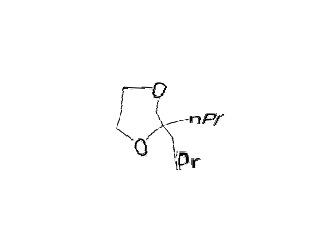 CCCC1(C(C)C)OCCO1